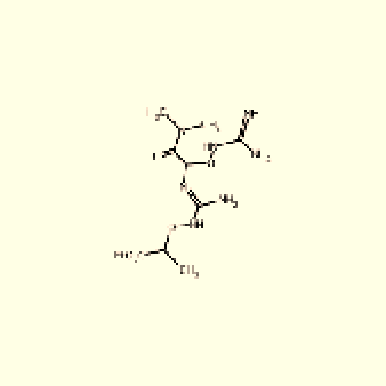 CCOC(=O)C(C)ONC(N)=NC(ONC(=N)N)C(=O)N(C)C